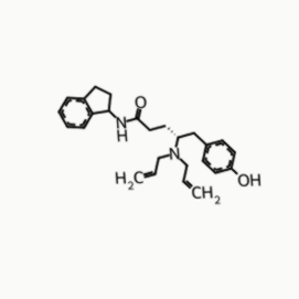 C=CCN(CC=C)[C@H](CCC(=O)NC1CCc2ccccc21)Cc1ccc(O)cc1